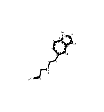 O=CCOCCc1ccc2occc2c1